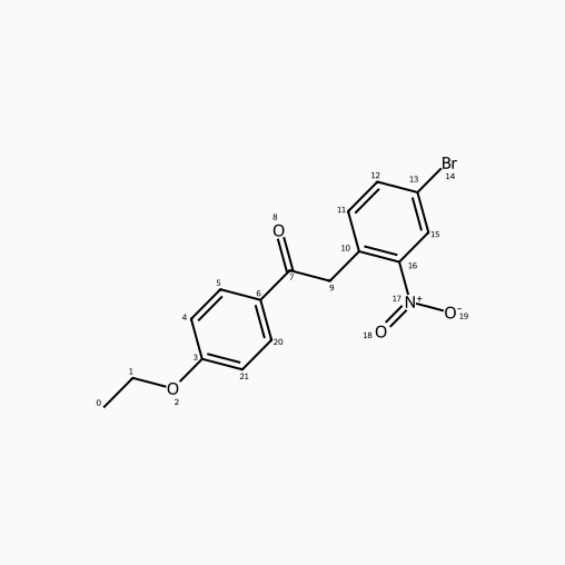 CCOc1ccc(C(=O)Cc2ccc(Br)cc2[N+](=O)[O-])cc1